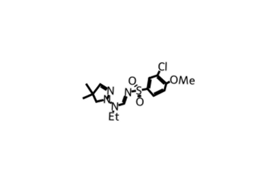 CCN(C=NS(=O)(=O)c1ccc(OC)c(Cl)c1)N1CC(C)(C)C=N1